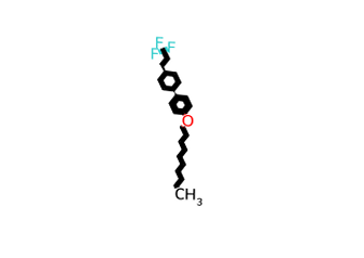 CCCCCCCCCCOc1ccc([C@H]2CC[C@H](CCC(F)(F)F)CC2)cc1